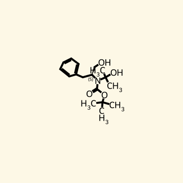 CC(C)(C)OC(=O)N([C@H](CO)Cc1ccccc1)C(C)(C)O